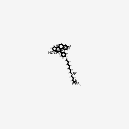 C[C@]12CCC(=O)CC1CC[C@@H]1[C@H]2C(c2ccc(OCCCCCCC[S+]([O-])CCCC(F)(F)C(F)(F)F)cc2)C[C@]2(C)C(O)CC[C@@H]12